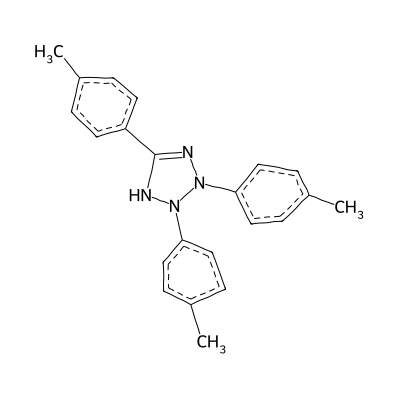 Cc1ccc(C2=NN(c3ccc(C)cc3)N(c3ccc(C)cc3)N2)cc1